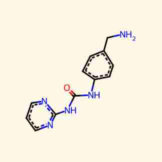 NCc1ccc(NC(=O)Nc2ncccn2)cc1